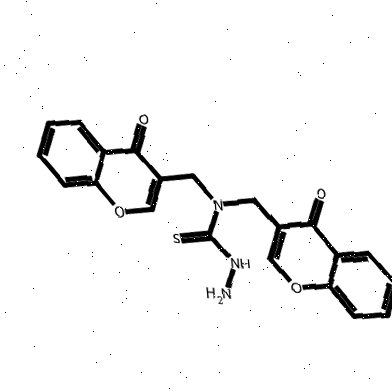 NNC(=S)N(Cc1coc2ccccc2c1=O)Cc1coc2ccccc2c1=O